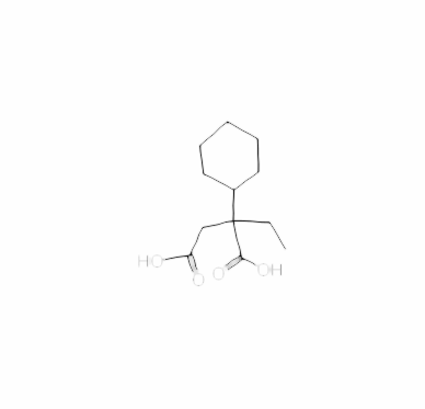 CCC(CC(=O)O)(C(=O)O)C1CCCCC1